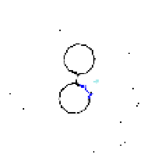 C1=C(C2=NNCCCCCCCC2)CCCCCCCCC1.F